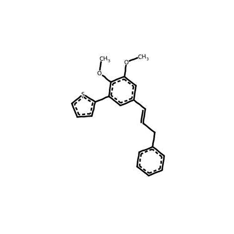 COc1cc(C=CCc2ccccc2)cc(-c2cccs2)c1OC